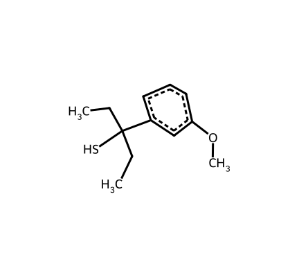 CCC(S)(CC)c1cccc(OC)c1